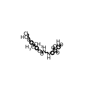 CC(C)(c1ccc(OCC(=O)NCCNc2ccc3c(c2)C(=O)N(C2CCC(=O)NC2=O)C3=O)cc1)c1ccc(OCC(O)CCl)cc1